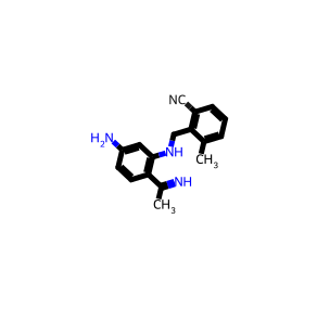 CC(=N)c1ccc(N)cc1NCc1c(C)cccc1C#N